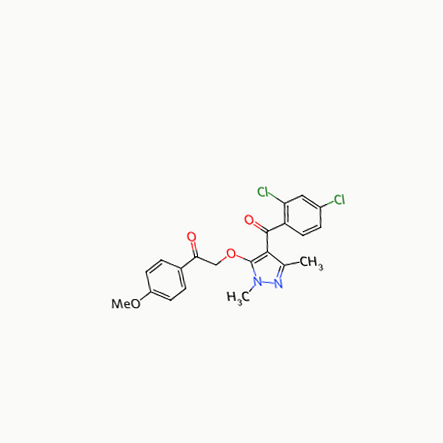 COc1ccc(C(=O)COc2c(C(=O)c3ccc(Cl)cc3Cl)c(C)nn2C)cc1